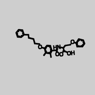 Cc1c(OCCCCCc2ccccc2)ccc(C(=O)NC(CCOc2ccccc2)C(=O)O)c1C